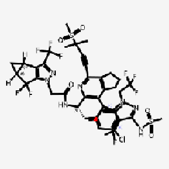 C=C/C(c1c([C@H](Cc2cc(F)cc(F)c2)NC(=O)Cn2nc(C(F)(F)F)c3c2C(F)(F)[C@@H]2C[C@H]32)nc(C#CC(C)(C)S(C)(=O)=O)c2c1CCC2)=c1\c(=C(/C)Cl)c(NS(C)(=O)=O)nn1CC(F)(F)F